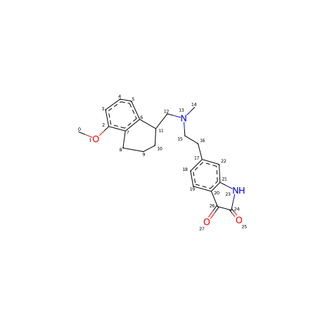 COc1cccc2c1CCCC2CN(C)CCc1ccc2c(c1)NC(=O)C2=O